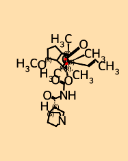 CC=C[C@]1(C)C[C@@H](OC(=O)NC(=O)[C@@H]2CN3CC[C@@H]2C3)[C@@]2(C)C3[C@H](OC)CCC3(CC[C@H]2C)[C@@H](C)C1=O